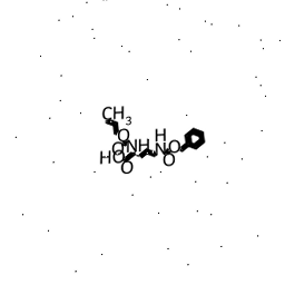 CCCCOC(=O)N[C@H](CCCNC(=O)OCc1ccccc1)C(=O)O